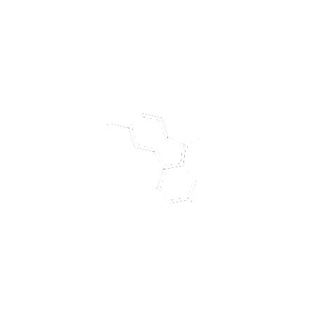 FC(F)(F)n1c2ccc(Br)cc2c2ccncc21